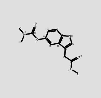 COC(=O)Cc1c[nH]c2ccc(OC(=S)N(C)C)cc12